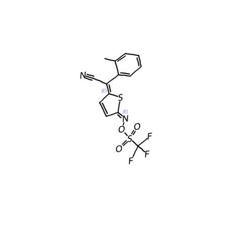 Cc1ccccc1/C(C#N)=C1C=C/C(=N\OS(=O)(=O)C(F)(F)F)S/1